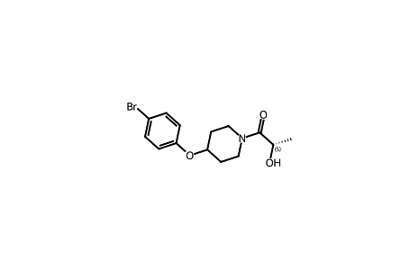 C[C@H](O)C(=O)N1CCC(Oc2ccc(Br)cc2)CC1